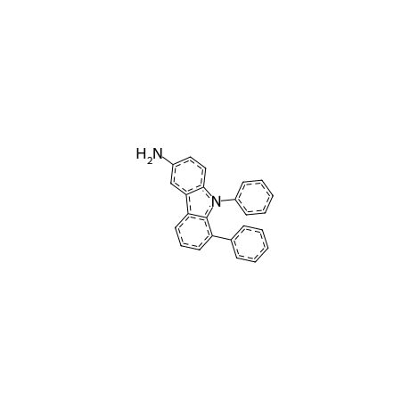 Nc1ccc2c(c1)c1cccc(-c3ccccc3)c1n2-c1ccccc1